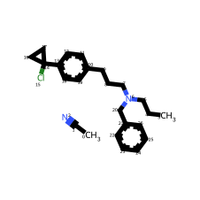 CC#N.CCCN(CCCc1ccc(C2(Cl)CC2)cc1)Cc1ccccc1